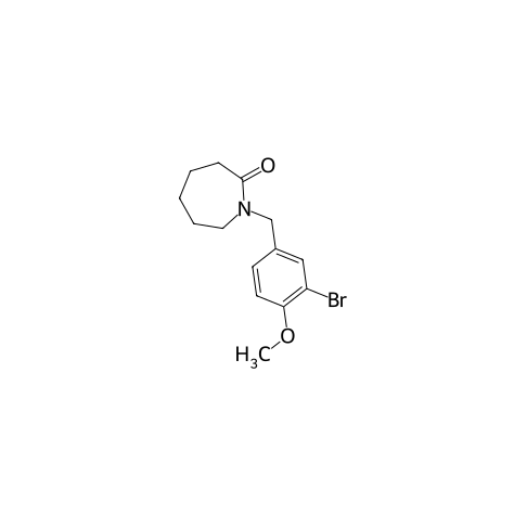 COc1ccc(CN2CCCCCC2=O)cc1Br